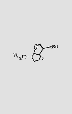 C[C@H]1COC2C1OC[C@H]2C(C)(C)C